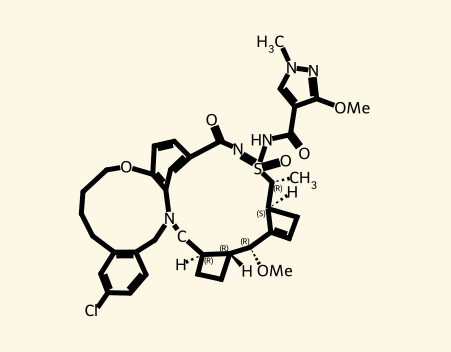 COc1nn(C)cc1C(=O)NS1(=O)=NC(=O)c2ccc3c(c2)N(Cc2ccc(Cl)cc2CCCCO3)C[C@@H]2CC[C@H]2[C@@H](OC)C2=CC[C@@H]2[C@H]1C